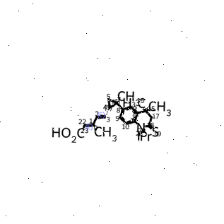 CC(/C=C/[C@@H]1C[C@]1(C)c1ccc2c(c1)C(C)(C)CC(=S)N2C(C)C)=C\C(=O)O